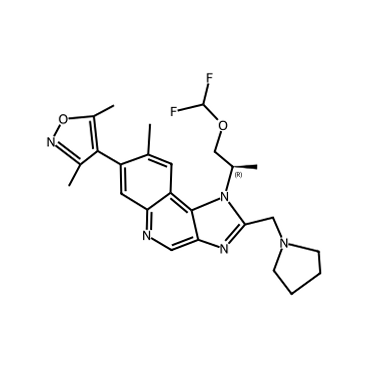 Cc1cc2c(cc1-c1c(C)noc1C)ncc1nc(CN3CCCC3)n([C@H](C)COC(F)F)c12